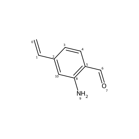 C=Cc1ccc(C=O)c(N)c1